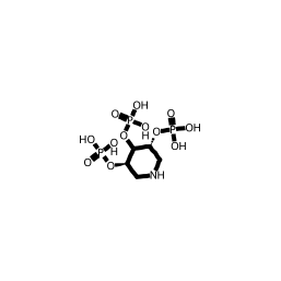 O=P(O)(O)OC1[C@H](OP(=O)(O)O)CNC[C@H]1OP(=O)(O)O